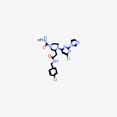 CCCNC(=O)N1CCN(c2cc(Cl)nc(-n3ccnc3)n2)C(CC(=O)NCc2ccc(Cl)cc2)C1